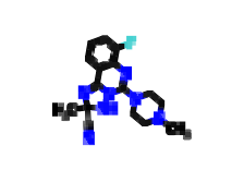 CN1CCN(C2=Nc3c(F)cccc3C3=NC(C)(C#N)NN32)CC1